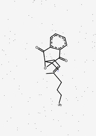 C/C(=C\CC12OC1(C)C(=O)c1ccccc1C2=O)CCCC(C)C